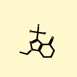 CCn1nc(C(F)(F)F)c2c1CCCC2=O